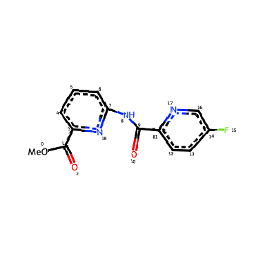 COC(=O)c1cccc(NC(=O)c2ccc(F)cn2)n1